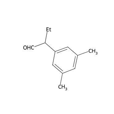 CCC(C=O)c1cc(C)cc(C)c1